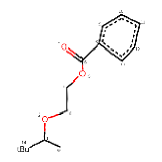 CC(OCCOC(=O)c1ccccc1)C(C)(C)C